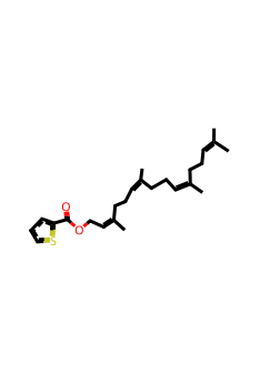 CC(C)=CCCC(C)=CCCC(C)=CCCC(C)=CCOC(=O)c1cccs1